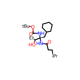 CC[C@H](O)[C@@](CC1CCCCC1)(NC(=O)CCC(C)C)NC(=O)OC(C)(C)C